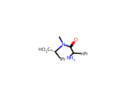 CCCC(N)C(=O)N(C)[C@@H](C(=O)O)C(C)C